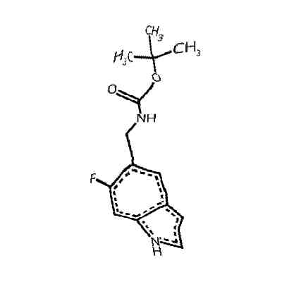 CC(C)(C)OC(=O)NCc1cc2cc[nH]c2cc1F